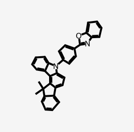 CC1(C)c2ccccc2-c2ccc3c(c21)c1ccccc1n3-c1ccc(-c2nc3ccccc3o2)cc1